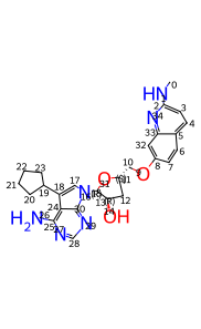 CNc1ccc2ccc(OC[C@@H]3C[C@@H](O)[C@H](n4cc(C5CCCC5)c5c(N)ncnc54)O3)cc2n1